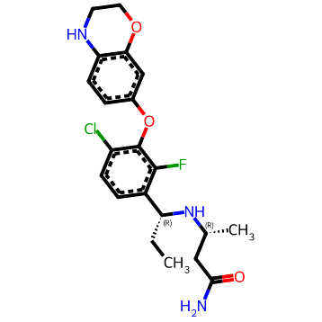 CC[C@@H](N[C@H](C)CC(N)=O)c1ccc(Cl)c(Oc2ccc3c(c2)OCCN3)c1F